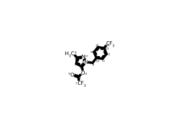 Cc1cc(OC(=O)C(F)(F)F)n(Cc2ccc(C(F)(F)F)cc2)n1